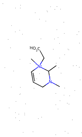 CC1N(C)CC=C[N+]1(C)CC(=O)O